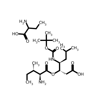 CCC(N)C(=O)O.CC[C@H](C)[C@H](N)C(=O)O[C@@H](CC(=O)O)[C@H](CC(C)C)NC(=O)OC(C)(C)C